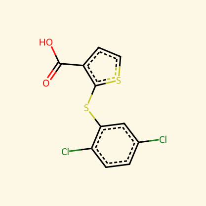 O=C(O)c1ccsc1Sc1cc(Cl)ccc1Cl